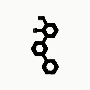 Oc1cccc(-c2cccc(-c3ccccc3)c2)c1Cl